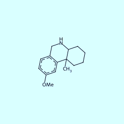 COc1ccc2c(c1)C1(C)CCCCC1NC2